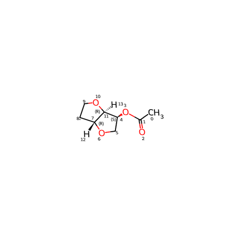 CC(=O)O[C@H]1CO[C@@H]2[CH]CO[C@@H]12